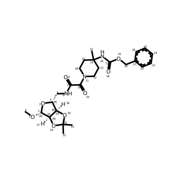 CO[C@@H]1O[C@H](CNC(=O)C(=O)N2CCC(C)(NC(=O)OCc3ccccc3)CC2)[C@H]2OC(C)(C)O[C@@H]12